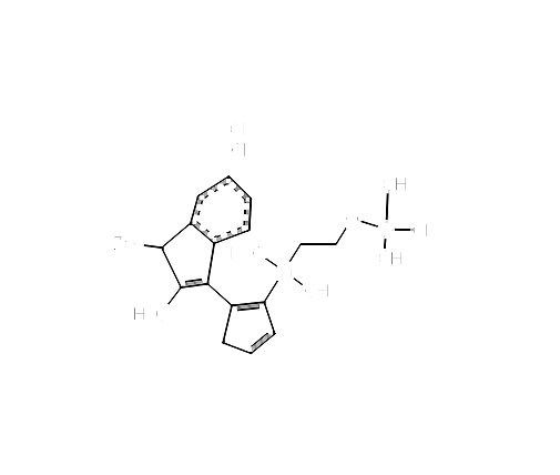 CC1=C(C2=C([Si](C)(C)CCO[Si](C)(C)C)C=CC2)c2ccccc2[CH]1[Zr+2].[Cl-].[Cl-]